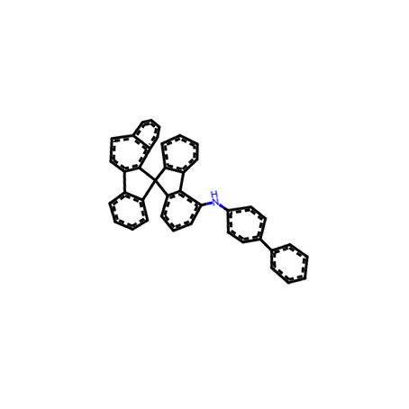 c1ccc(-c2ccc(Nc3cccc4c3-c3ccccc3C43c4ccccc4-c4ccc5ccccc5c43)cc2)cc1